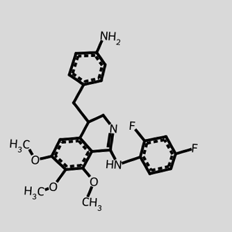 COc1cc2c(c(OC)c1OC)C(Nc1ccc(F)cc1F)=NCC2Cc1ccc(N)cc1